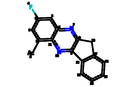 CC(=O)c1cc(F)cc2nc3c(nc12)-c1ccccc1C3